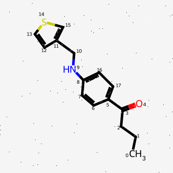 CCCC(=O)c1ccc(NCc2ccsc2)cc1